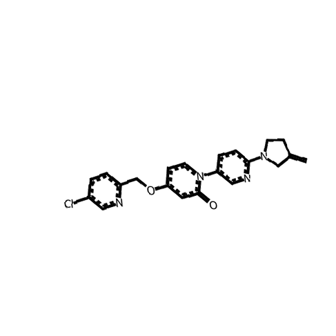 C=C1CCN(c2ccc(-n3ccc(OCc4ccc(Cl)cn4)cc3=O)cn2)C1